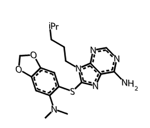 CC(C)CCCn1c(Sc2cc3c(cc2N(C)C)OCO3)nc2c(N)ncnc21